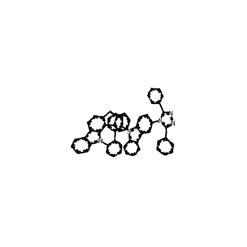 c1ccc(-c2nnc(-c3ccccc3)n2-c2ccc3c(c2)c2ccccc2n3-c2ccccc2-c2ccccc2-n2c3ccccc3c3ccc4c(c32)-c2ccccc2C4)cc1